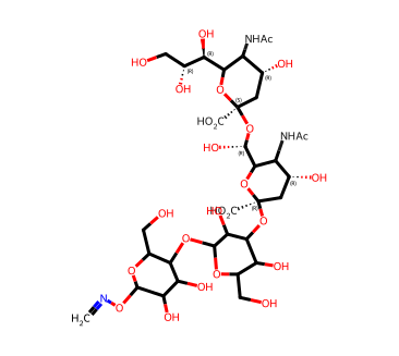 C=NOC1OC(CO)C(OC2OC(CO)C(O)C(O[C@]3(C(=O)O)C[C@@H](O)C(NC(C)=O)C([C@H](O)O[C@]4(C(=O)O)C[C@@H](O)C(NC(C)=O)C([C@H](O)[C@H](O)CO)O4)O3)C2O)C(O)C1O